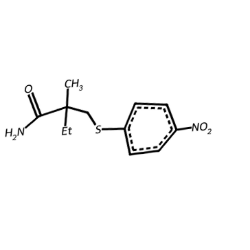 CCC(C)(CSc1ccc([N+](=O)[O-])cc1)C(N)=O